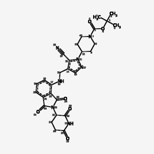 CC(C)(C)OC(=O)N1CCC(n2ncc(CNc3cccc4c3C(=O)N(C3CCC(=O)NC3=O)C4=O)c2C#N)CC1